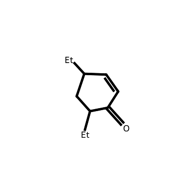 CCC1C=CC(=O)C(CC)C1